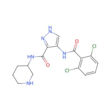 O=C(NC1CCCNC1)c1n[nH]cc1NC(=O)c1c(Cl)cccc1Cl